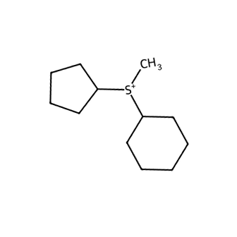 C[S+](C1CCCCC1)C1CCCC1